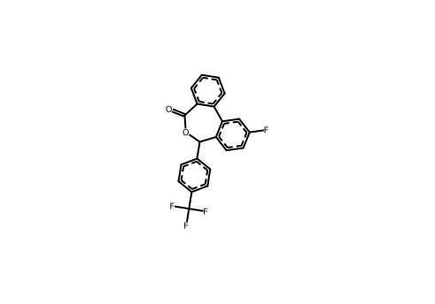 O=C1OC(c2ccc(C(F)(F)F)cc2)c2ccc(F)cc2-c2ccccc21